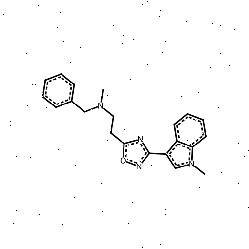 CN(CCc1nc(-c2cn(C)c3ccccc23)no1)Cc1ccccc1